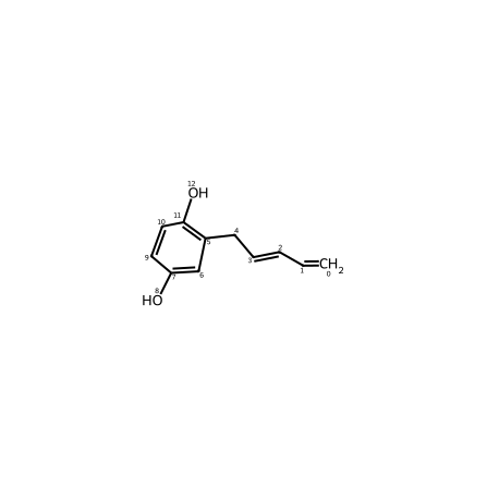 C=CC=CCc1cc(O)ccc1O